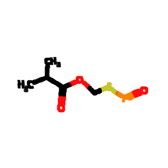 CC(C)C(=O)OCSP=O